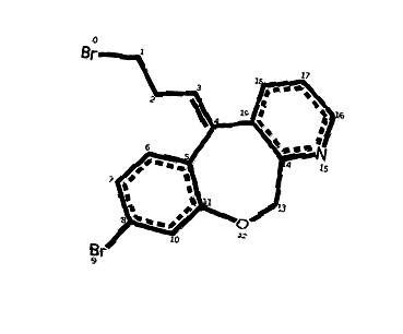 BrCC/C=C1\c2ccc(Br)cc2OCc2ncccc21